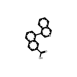 O=C(O)c1ccc2cccc(-c3cncc4ccccc34)c2c1